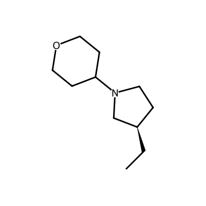 CC[C@@H]1CCN(C2CCOCC2)C1